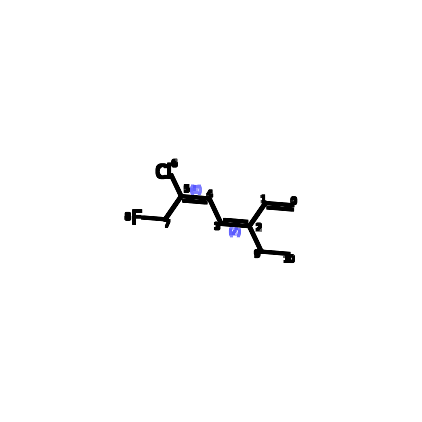 C=C/C(=C\C=C(\Cl)CF)CC